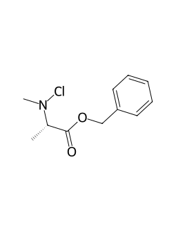 C[C@@H](C(=O)OCc1ccccc1)N(C)Cl